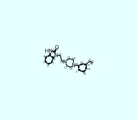 O=c1[nH]c2ccccc2n1CCN1CCN(c2cccc(CF)c2)CC1